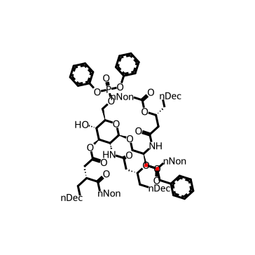 CCCCCCCCCCC[C@H](CC(=O)N[C@@H](COCc1ccccc1)CO[C@@H]1O[C@H](COP(=O)(Oc2ccccc2)Oc2ccccc2)[C@@H](O)[C@H](OC(=O)C[C@@H](CCCCCCCCCCC)C(=O)CCCCCCCCC)[C@H]1NC(=O)C[C@@H](CCCCCCCCCCC)OC(=O)CCCCCCCCC)OC(=O)CCCCCCCCC